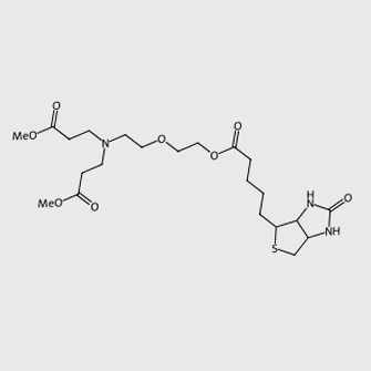 COC(=O)CCN(CCOCCOC(=O)CCCCC1SCC2NC(=O)NC21)CCC(=O)OC